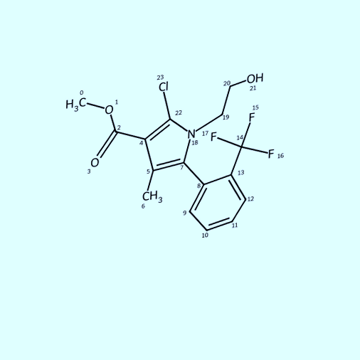 COC(=O)c1c(C)c(-c2ccccc2C(F)(F)F)n(CCO)c1Cl